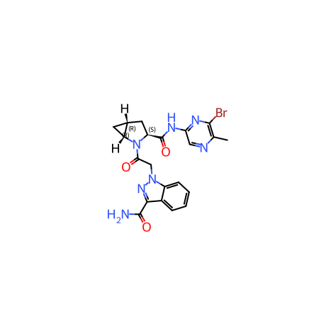 Cc1ncc(NC(=O)[C@@H]2C[C@H]3C[C@H]3N2C(=O)Cn2nc(C(N)=O)c3ccccc32)nc1Br